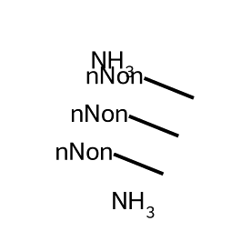 CCCCCCCCCC.CCCCCCCCCC.CCCCCCCCCC.N.N